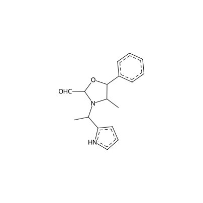 CC(c1ccc[nH]1)N1C(C=O)OC(c2ccccc2)C1C